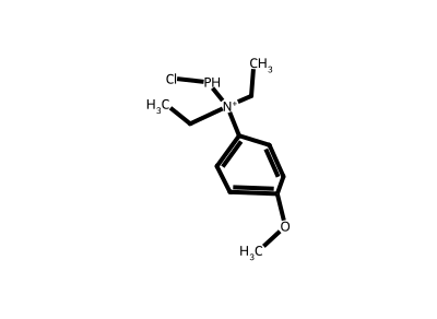 CC[N+](CC)(PCl)c1ccc(OC)cc1